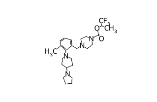 Cc1cccc(CN2CCN(C(=O)OC(C)C(F)(F)F)CC2)c1N1CCC(N2CCCC2)CC1